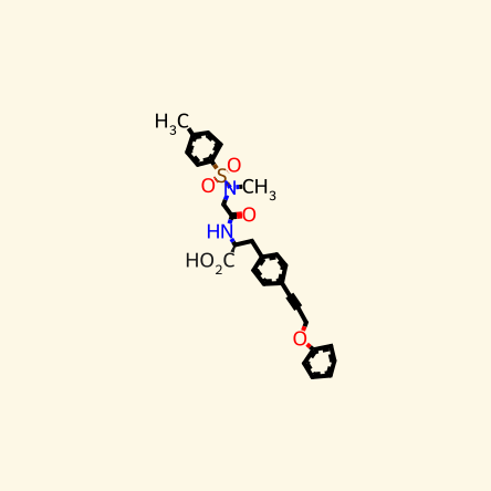 Cc1ccc(S(=O)(=O)N(C)CC(=O)N[C@@H](Cc2ccc(C#CCOc3ccccc3)cc2)C(=O)O)cc1